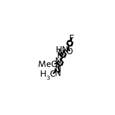 COc1nc(-c2ccc(NC(=O)c3ccc(F)cc3)nn2)ccc1-n1cnc(C)c1